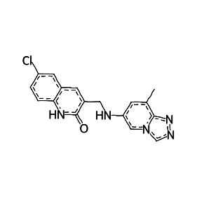 Cc1cc(NCc2cc3cc(Cl)ccc3[nH]c2=O)cn2cnnc12